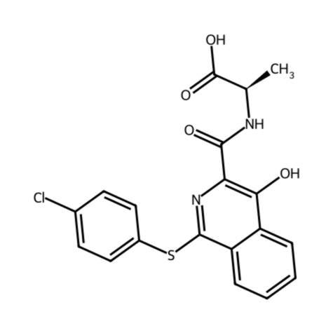 C[C@@H](NC(=O)c1nc(Sc2ccc(Cl)cc2)c2ccccc2c1O)C(=O)O